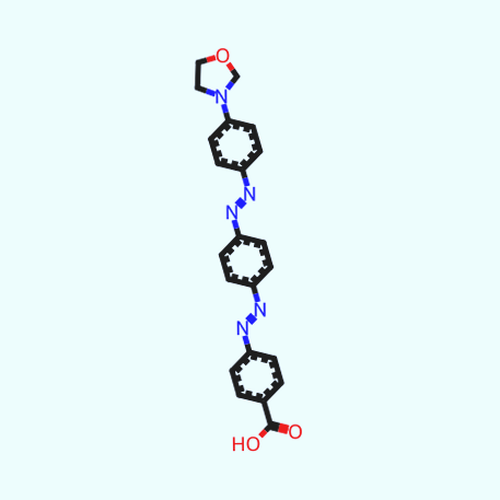 O=C(O)c1ccc(N=Nc2ccc(N=Nc3ccc(N4CCOC4)cc3)cc2)cc1